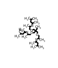 CCC(COCC(C)N=C(C)CC(C)C)(COCC(C)N=C(C)CC(C)C)COCC(C)N=C(C)CC(C)C